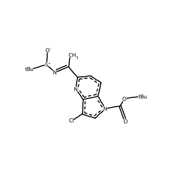 CC(=N[S+]([O-])C(C)(C)C)c1ccc2c(n1)c(Cl)cn2C(=O)OC(C)(C)C